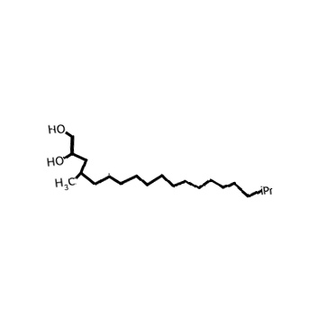 CC(C)CCCCCCCCCCC[CH]CC(C)CC(O)CO